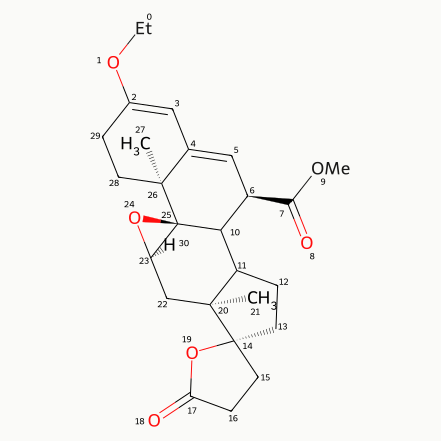 CCOC1=CC2=C[C@@H](C(=O)OC)C3C4CC[C@@]5(CCC(=O)O5)[C@@]4(C)C[C@H]4O[C@@]34[C@@]2(C)CC1